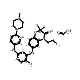 CN1CCN(c2ccc(Nc3ncc(Cl)c(Nc4ccc5c(c4)N(CCF)C(=O)C(C)(C)O5)n3)cn2)CC1.O=CO